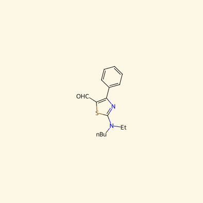 CCCCN(CC)c1nc(-c2ccccc2)c(C=O)s1